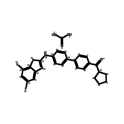 O=C(O)O.O=C(c1ccc(-c2ccc(Nc3nc4cc(F)cc(F)c4s3)cc2)cc1)C1CCCC1